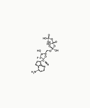 N#C[C@@]1(c2ccc3c(N)ccnn23)O[C@H](COP(=O)(O)OP(=O)(O)OP(=O)(O)O)[C@@H](O)[C@H]1F